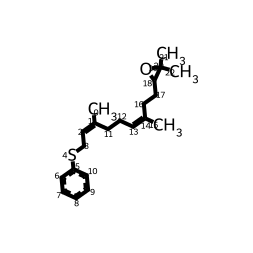 CC(=CCSc1ccccc1)CCC=C(C)CCC1OC1(C)C